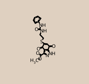 COC(=O)c1n[nH]c2c1C(=O)C(SCCNC(=O)Nc1ccccc1)=CC2=O